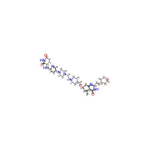 O=C1CCC(Nc2ccc(N3CCN(CCN4CCC(COc5cc(F)c6c(=O)[nH]c(CSC7CCOCC7)nc6c5)CC4)CC3)cn2)C(=O)N1